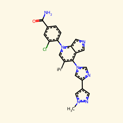 CC(C)c1cn(-c2ccc(C(N)=O)cc2Cl)c2cncc-2c1-n1cnc(-c2cnn(C)c2)c1